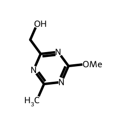 COc1nc(C)nc(CO)n1